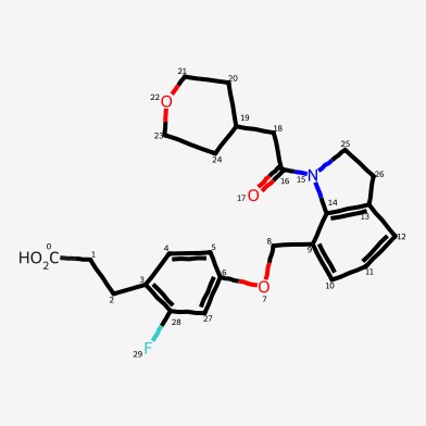 O=C(O)CCc1ccc(OCc2cccc3c2N(C(=O)CC2CCOCC2)CC3)cc1F